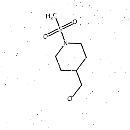 CS(=O)(=O)N1CCC(CCl)CC1